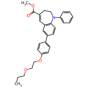 CCCOCCOc1ccc(-c2ccc3c(c2)C=C(C(=O)OC)CCN3c2ccccc2)cc1